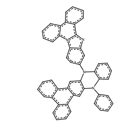 c1ccc(N2c3ccccc3N(c3ccc4c(c3)nc3c5ccccc5c5ccccc5n43)c3cc4c5ccccc5c5ccccc5c4cc32)cc1